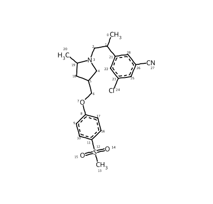 CC(CN1CC(COc2ccc(S(C)(=O)=O)cc2)CC1C)c1cc(Cl)cc(C#N)c1